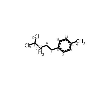 Cc1ccc(CC[SiH2]C(Cl)Cl)cc1